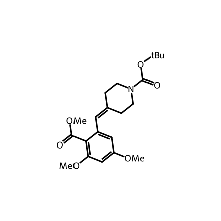 COC(=O)c1c(C=C2CCN(C(=O)OC(C)(C)C)CC2)cc(OC)cc1OC